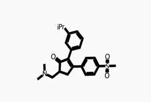 CC(C)c1cccc(C2=C(c3ccc(S(C)(=O)=O)cc3)CC(CN(C)C)C2=O)c1